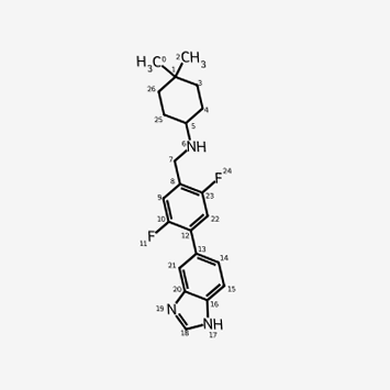 CC1(C)CCC(NCc2cc(F)c(-c3ccc4[nH]cnc4c3)cc2F)CC1